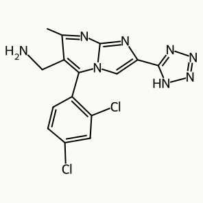 Cc1nc2nc(-c3nnn[nH]3)cn2c(-c2ccc(Cl)cc2Cl)c1CN